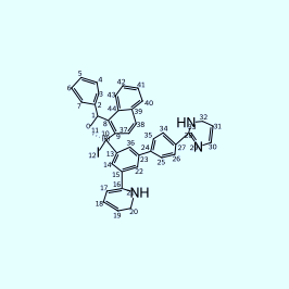 CC(c1ccccc1)c1c([C@](C)(I)c2cc(C3=CC=CCN3)cc(-c3ccc(C4=NC=CCN4)cc3)c2)ccc2ccccc12